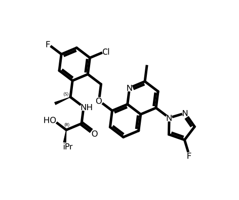 Cc1cc(-n2cc(F)cn2)c2cccc(OCc3c(Cl)cc(F)cc3[C@H](C)NC(=O)[C@H](O)C(C)C)c2n1